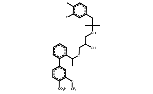 Cc1ccc(CC(C)(C)NC[C@@H](O)COC(C)c2ccccc2-c2ccc(C(=O)O)c(OC(F)(F)F)c2)cc1F